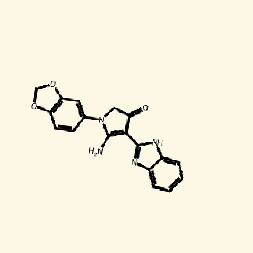 NC1=C(c2nc3ccccc3[nH]2)C(=O)CN1c1ccc2c(c1)OCO2